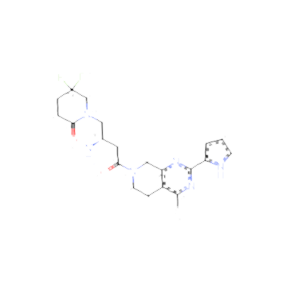 N[C@H](CC(=O)N1CCc2c(nc(-c3ccc[nH]3)nc2C(F)(F)F)C1)CN1CC(F)(F)CCC1=O